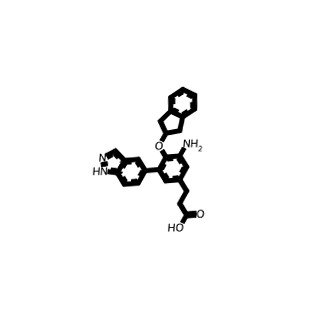 Nc1cc(CCC(=O)O)cc(-c2ccc3[nH]ncc3c2)c1OC1Cc2ccccc2C1